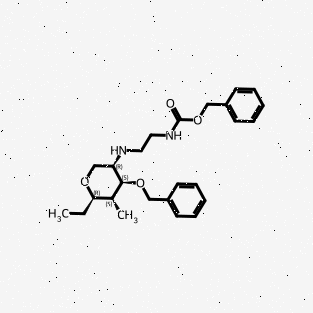 CC[C@H]1OC[C@@H](NCCNC(=O)OCc2ccccc2)[C@@H](OCc2ccccc2)[C@H]1C